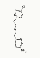 Nc1ccc(CCSCCc2ccc(Cl)nn2)nn1